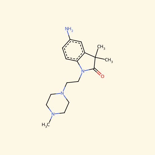 CN1CCN(CCN2C(=O)C(C)(C)c3cc(N)ccc32)CC1